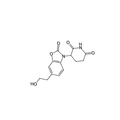 O=C1CCC(n2c(=O)oc3cc(CCO)ccc32)C(=O)N1